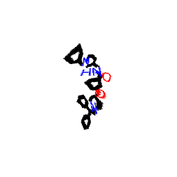 O=C(NCC1CCCN(Cc2ccccc2)C1)c1cccc(OC2CCN(CC(c3ccccc3)c3ccccc3)CC2)c1